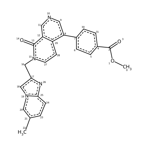 COC(=O)c1ccc(-c2cncc3c(=O)n(Cc4cn5cc(C)ccc5n4)ccc23)cc1